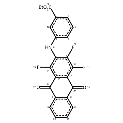 CCOC(=O)c1cccc(Nc2c(F)c(F)c3c(c2F)C(=O)c2ccccc2C3=O)c1